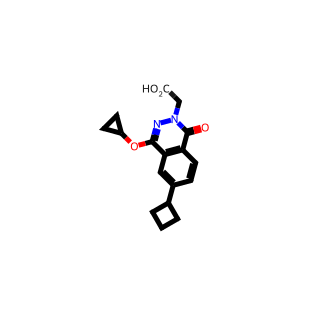 O=C(O)Cn1nc(OC2CC2)c2cc(C3CCC3)ccc2c1=O